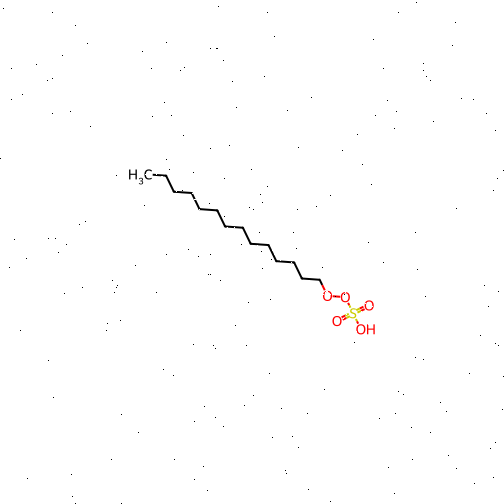 CCCCCCCCCCCCCCOOS(=O)(=O)O